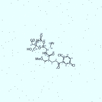 COC[C@H](CCC(=O)c1cc(Cl)ccc1Cl)C(=O)N[C@@H](CC(C)C)B1OC(=O)CC(CC(=O)O)(C(=O)O)O1